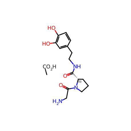 CC(=O)O.NCC(=O)N1CCC[C@H]1C(=O)NCCc1ccc(O)c(O)c1